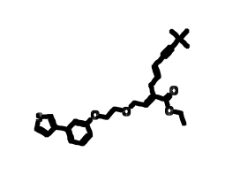 CCOC(=O)/C(=C/COCCOc1cccc(-c2ccsc2)c1)C/C=C/C#CC(C)(C)C